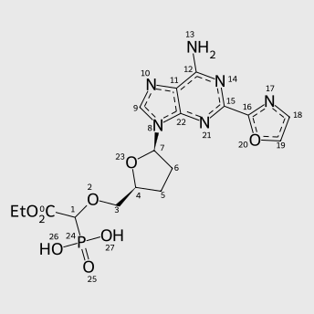 CCOC(=O)C(OC[C@@H]1CC[C@H](n2cnc3c(N)nc(-c4ncco4)nc32)O1)P(=O)(O)O